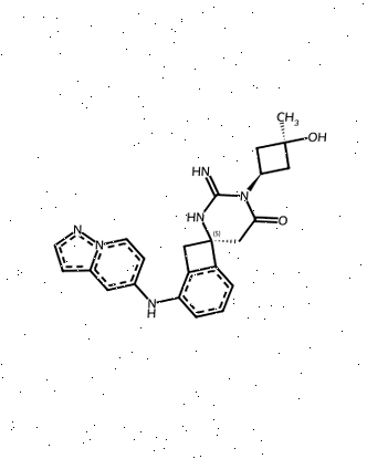 C[C@]1(O)C[C@@H](N2C(=N)N[C@]3(CC2=O)Cc2c(Nc4ccn5nccc5c4)cccc23)C1